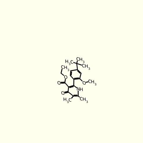 CCOC(=O)c1c(-c2ccc(C(C)(C)C)cc2OC)[nH]c(C)c(C)c1=O